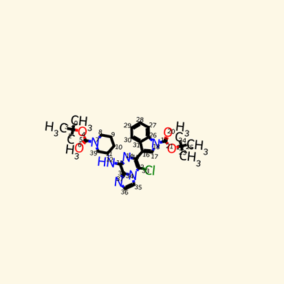 CC(C)(C)OC(=O)N1CCC[C@H](Nc2nc(-c3cn(C(=O)OC(C)(C)C)c4ccccc34)c(Cl)n3ccnc23)C1